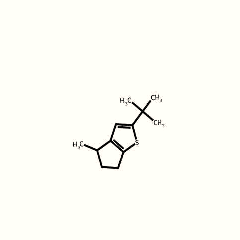 CC1CCc2sc(C(C)(C)C)cc21